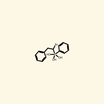 CC(=O)C(Cc1ccccc1)P(O)(O)(O)c1ccccc1